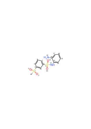 CS(=O)(=O)c1cccc(S(=O)(=O)Nc2ccccc2N)c1